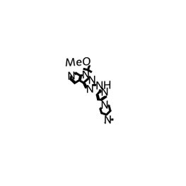 COCC(C)(C)n1c2cnccc2c2cnc(Nc3ccc(N4CCC(N(C)C)CC4)cn3)nc21